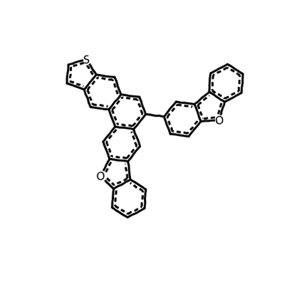 c1ccc2c(c1)oc1ccc(-c3cc4cc5sccc5cc4c4cc5oc6ccccc6c5cc34)cc12